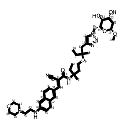 CCC(C)(CCOC(C)(CC)Cc1cn(C[C@H]2O[C@H](OC)C[C@@H](O)[C@@H]2O)nn1)NC(=O)/C(C#N)=C/c1ccc2cc(NCCN3CCOCC3)ccc2c1